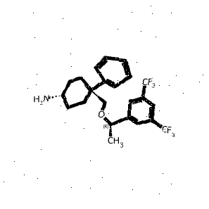 C[C@@H](OC[C@]1(c2ccccc2)CC[C@@H](N)CC1)c1cc(C(F)(F)F)cc(C(F)(F)F)c1